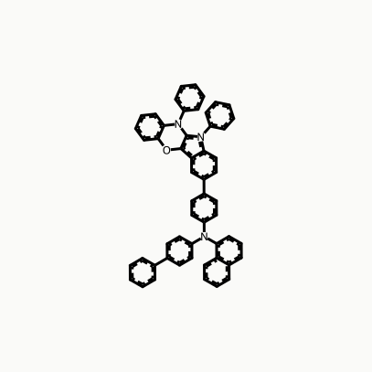 c1ccc(-c2ccc(N(c3ccc(-c4ccc5c(c4)c4c(n5-c5ccccc5)N(c5ccccc5)c5ccccc5O4)cc3)c3cccc4ccccc34)cc2)cc1